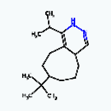 CC(C)C1=C2CCC(C(C)(C)C)CCCC2C=NN1